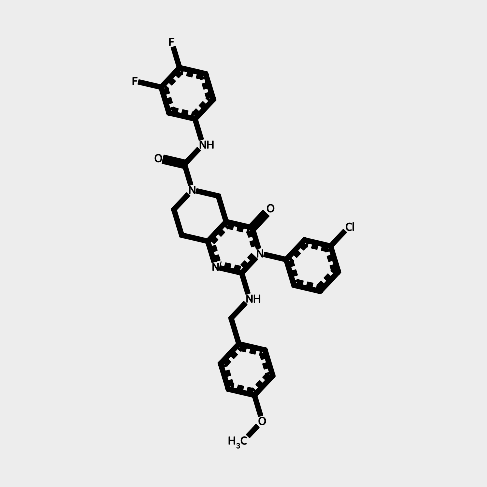 COc1ccc(CNc2nc3c(c(=O)n2-c2cccc(Cl)c2)CN(C(=O)Nc2ccc(F)c(F)c2)CC3)cc1